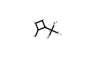 CC1CCC1C(F)(F)F